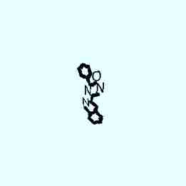 c1ccc2cc(-c3cnc4oc5ccccc5c4n3)ncc2c1